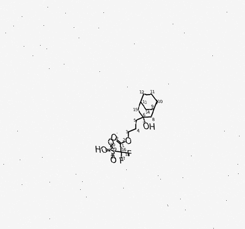 O=C(OCCCC1(O)CC2CCCC(C2)C1)C(F)(F)S(=O)(=O)O